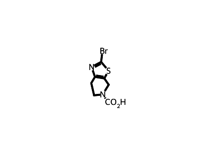 O=C(O)N1CCc2nc(Br)sc2C1